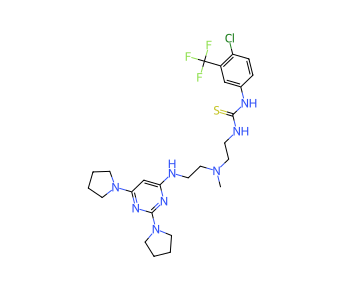 CN(CCNC(=S)Nc1ccc(Cl)c(C(F)(F)F)c1)CCNc1cc(N2CCCC2)nc(N2CCCC2)n1